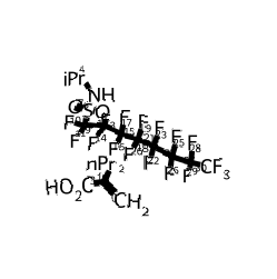 C=C(CCC)C(=O)O.CC(C)NS(=O)(=O)C(F)(F)C(F)(F)C(F)(F)C(F)(F)C(F)(F)C(F)(F)C(F)(F)C(F)(F)F